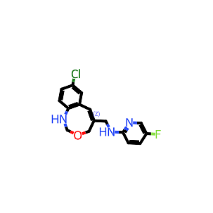 Fc1ccc(NC/C2=C/c3cc(Cl)ccc3NCOC2)nc1